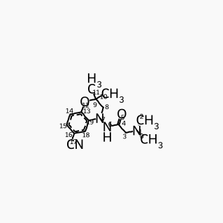 CN(C)CC(=O)NN1CC(C)(C)Oc2ccc(C#N)cc21